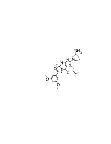 COc1cc(OC)cc(C(=O)Cn2c(=O)c3c(nc(N4CCCC(N)C4)n3CC=C(C)C)n(C)c2=O)c1